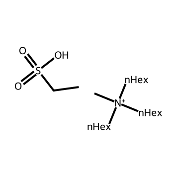 CCCCCC[N+](C)(CCCCCC)CCCCCC.CCS(=O)(=O)O